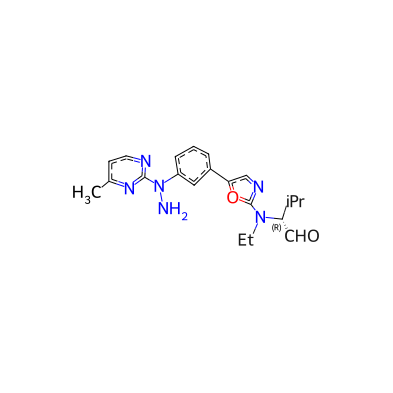 CCN(c1ncc(-c2cccc(N(N)c3nccc(C)n3)c2)o1)[C@@H](C=O)C(C)C